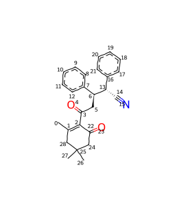 CC1=C(C(=O)C[C@@H](c2ccccc2)[C@@H](C#N)c2ccccc2)C(=O)CC(C)(C)C1